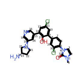 Cn1ccn(-c2ccc(-c3cc(Cl)cc(-c4cncc(N5CC[C@H](N)C5)c4)c3O)cc2Cl)c1=O